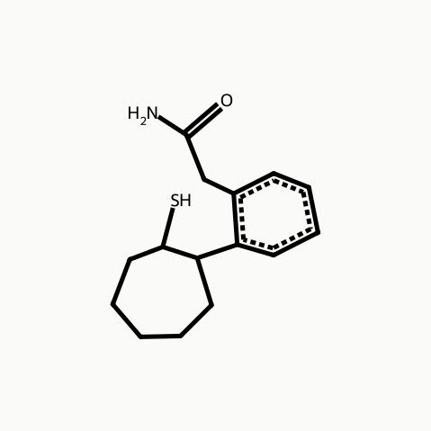 NC(=O)Cc1ccccc1C1CCCCCC1S